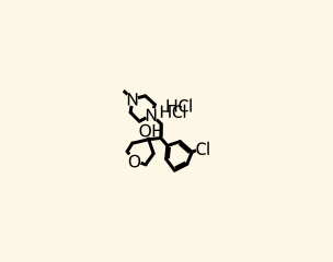 CN1CCN(CC(c2cccc(Cl)c2)C2(O)CCOCC2)CC1.Cl.Cl